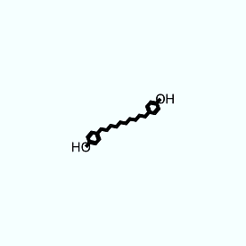 Oc1ccc(CCCCCCCCCCc2ccc(O)cc2)cc1